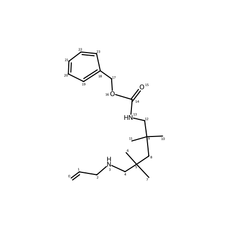 C=CCNCC(C)(C)CC(C)(C)CNC(=O)OCc1ccccc1